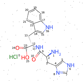 Cl.N[C@@H](Cc1c[nH]cn1)C(=O)N[C@@H](Cc1c[nH]c2ccccc12)C(=O)O